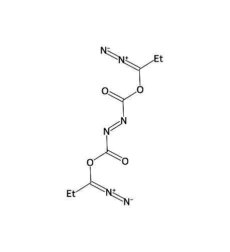 CCC(=[N+]=[N-])OC(=O)/N=N/C(=O)OC(CC)=[N+]=[N-]